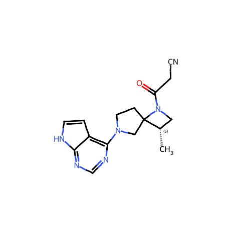 C[C@H]1CN(C(=O)CC#N)C12CCN(c1ncnc3[nH]ccc13)C2